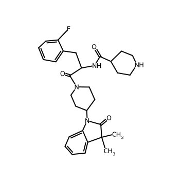 CC1(C)C(=O)N(C2CCN(C(=O)C(Cc3ccccc3F)NC(=O)C3CCNCC3)CC2)c2ccccc21